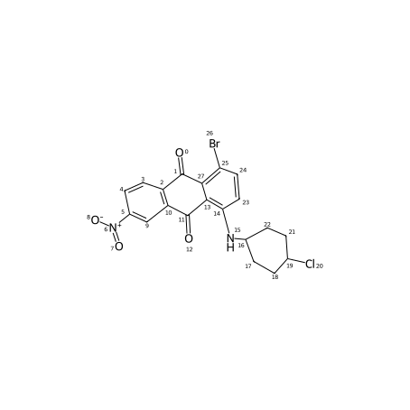 O=C1c2ccc([N+](=O)[O-])cc2C(=O)c2c(NC3CCC(Cl)CC3)ccc(Br)c21